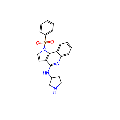 O=S(=O)(c1ccccc1)n1ccc2c(NC3CCNC3)nc3ccccc3c21